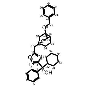 O[C@](c1ccccc1)(c1noc(C[N+]23CCC(CC2)C(OCc2ccccc2)C3)n1)C1CCCCC1